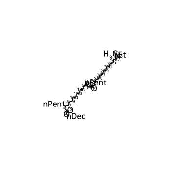 CCCCCCCCCCOC(=O)CC(CCCCC)CCCCCCCCCCC(CCCCC)CC(=O)OCCCCCCCCCCCCCN(C)CC